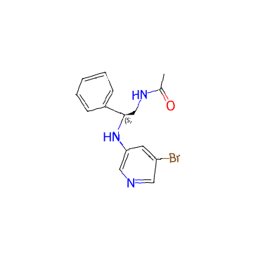 CC(=O)NC[C@@H](Nc1cncc(Br)c1)c1ccccc1